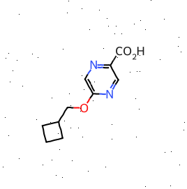 O=C(O)c1cnc(OCC2CCC2)cn1